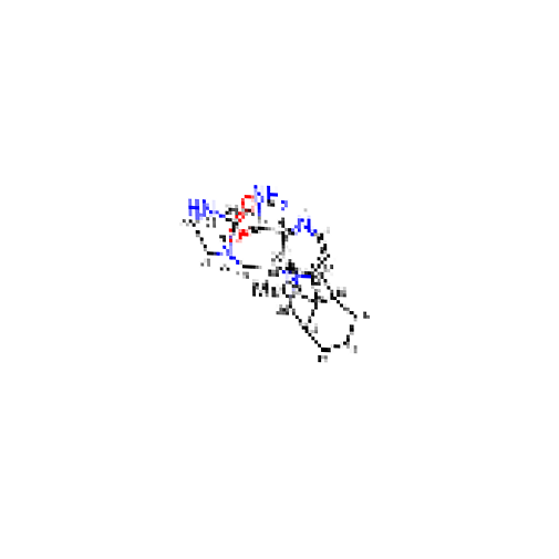 COC1(c2ccnc(C(N)=O)c2)C2CCCC1CN(CCN1CCNC1=O)C2